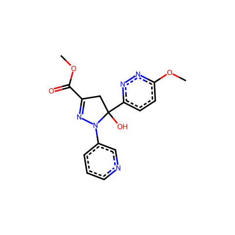 COC(=O)C1=NN(c2cccnc2)C(O)(c2ccc(OC)nn2)C1